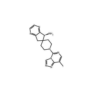 N[C@@H]1c2nccnc2CC12CCN(c1ncc(I)c3nncn13)CC2